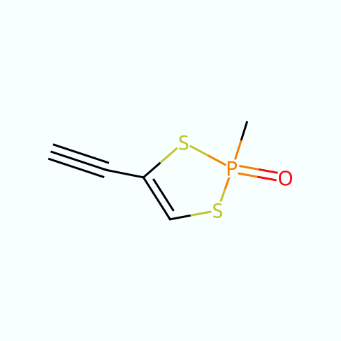 C#CC1=CSP(C)(=O)S1